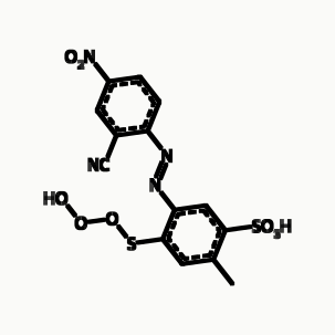 Cc1cc(SOOO)c(N=Nc2ccc([N+](=O)[O-])cc2C#N)cc1S(=O)(=O)O